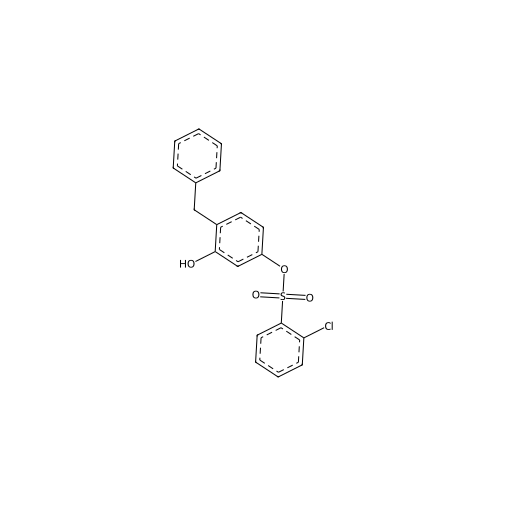 O=S(=O)(Oc1ccc(Cc2ccccc2)c(O)c1)c1ccccc1Cl